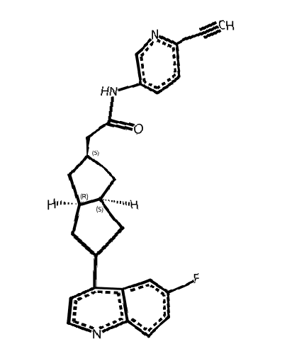 C#Cc1ccc(NC(=O)C[C@H]2C[C@H]3CC(c4ccnc5ccc(F)cc45)C[C@H]3C2)cn1